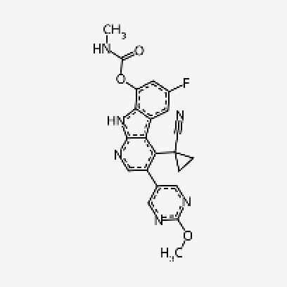 CNC(=O)Oc1cc(F)cc2c1[nH]c1ncc(-c3cnc(OC)nc3)c(C3(C#N)CC3)c12